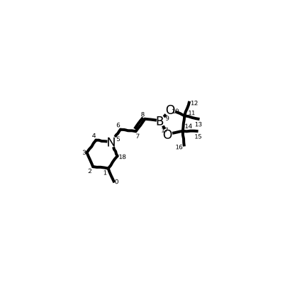 CC1CCCN(C/C=C/B2OC(C)(C)C(C)(C)O2)C1